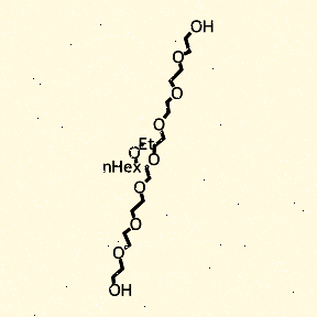 CCCCCCOCC.OCCOCCOCCOCCOCCOCCOCCOCCO